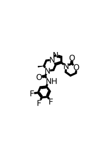 C[C@H]1Cn2ncc(N3CCCOC3=O)c2CN1C(=O)Nc1cc(F)c(F)c(F)c1